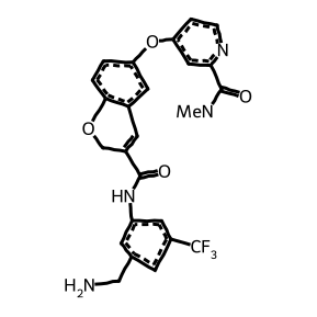 CNC(=O)c1cc(Oc2ccc3c(c2)C=C(C(=O)Nc2cc(CN)cc(C(F)(F)F)c2)CO3)ccn1